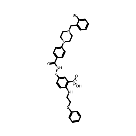 O=C(NSc1ccc(NCCSc2ccccc2)c([NH+]([O-])O)c1)c1ccc(N2CCN(Cc3ccccc3Br)CC2)cc1